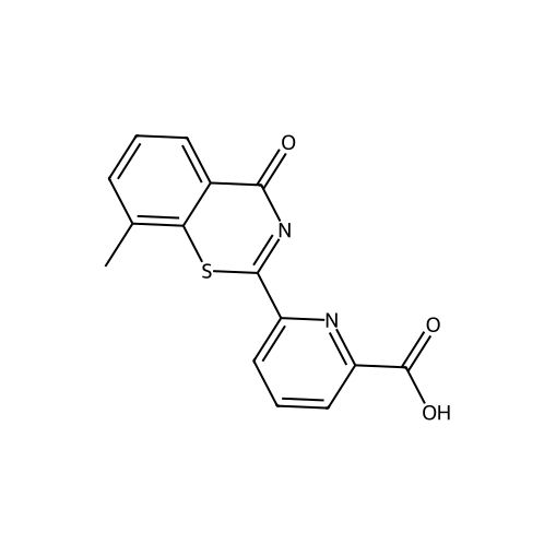 Cc1cccc2c(=O)nc(-c3cccc(C(=O)O)n3)sc12